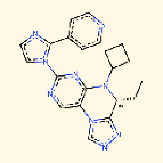 CC[C@@H]1c2nncn2-c2cnc(-n3ccnc3-c3ccncc3)nc2N1C1CCC1